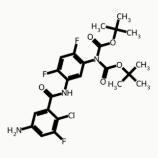 CC(C)(C)OC(=O)N(C(=O)OC(C)(C)C)c1cc(NC(=O)c2cc(N)cc(F)c2Cl)c(F)cc1F